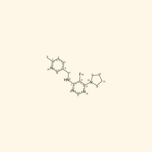 Cc1ccc(CNc2ncnc(N3CCCC3)c2F)cn1